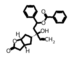 C=CC(O)(CC(OC(=O)c1ccccc1)c1ccccc1)[C@@H]1C[C@@H]2CC(=O)O[C@H]2C1